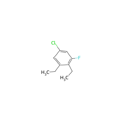 CCc1cc(Cl)cc(F)c1CC